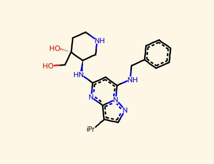 CC(C)c1cnn2c(NCc3ccccc3)cc(N[C@@H]3CNCC[C@]3(O)CO)nc12